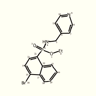 CCOP(=O)(NCc1ccncc1)c1ccc(Br)c2ccccc12